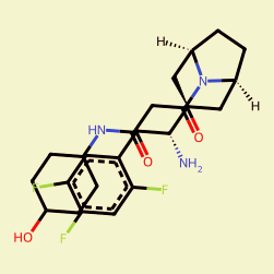 N[C@H](Cc1cc(F)c(F)cc1F)[C@H]1C[C@H]2CC[C@@H](C1)N2C(=O)CC(=O)NC1CCC(O)CC1